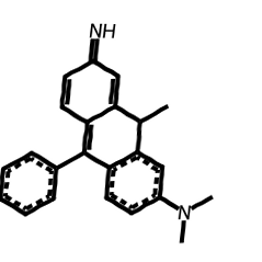 CC1C2=CC(=N)C=CC2=C(c2ccccc2)c2ccc(N(C)C)cc21